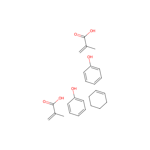 C1=CCCCC1.C=C(C)C(=O)O.C=C(C)C(=O)O.Oc1ccccc1.Oc1ccccc1